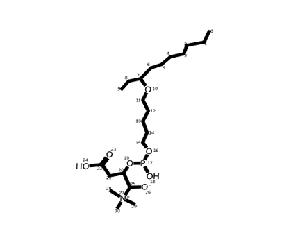 CCCCCCCC(CC)OCCCCCOP(O)OC(CC(=O)O)C([O-])[N+](C)(C)C